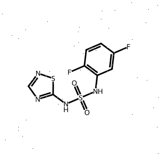 O=S(=O)(Nc1ncns1)Nc1cc(F)ccc1F